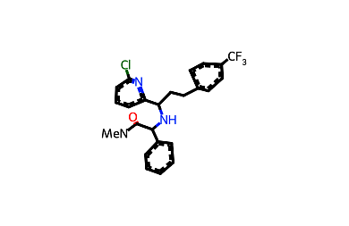 CNC(=O)C(NC(CCc1ccc(C(F)(F)F)cc1)c1cccc(Cl)n1)c1ccccc1